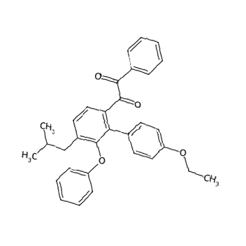 CCOc1ccc(-c2c(C(=O)C(=O)c3ccccc3)ccc(CC(C)C)c2Oc2ccccc2)cc1